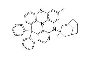 Cc1cc2c3c(c1)N(C1(C)C=C4CC5CC(C1)C45)c1cccc4c1B3c1c(cccc1C4(c1ccccc1)c1ccccc1)S2